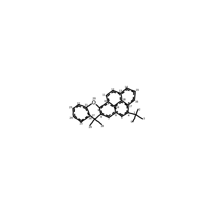 CC(C)(C)c1cc2cc3c(c4ccc5cccc1c5c24)Oc1ccccc1C3(C)C